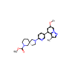 CCOc1cc(-c2ccc(N3CC[C@]4(CCCN(C(=O)OC(C)(C)C)C4)C3)nc2)c2c(C#N)cnn2c1